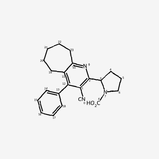 N#Cc1c(C2CCCN2C(=O)O)nc2c(c1-c1ccccc1)CCCCC2